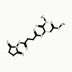 CC(C)(C)OC(=O)C[C@H](OC(=O)CCC(=O)ON1C(=O)CCC1=O)C(=O)OC(C)(C)C